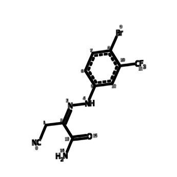 N#CCC(=NNc1ccc(Br)c(C(F)(F)F)c1)C(N)=O